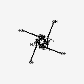 CC(C)(CCCCCCCCCCCCCCCCCCO)C(=O)Nc1ccccc1C1=C2C=CC(=N2)C(c2ccccc2NC(=O)C(C)(C)CCCCCCCCCCCCCCCCCCO)=C2C=CC(=N2)C(c2ccccc2NC(=O)C(C)(C)CCCCCCCCCCCCCCCCCCO)=C2C=CC(=N2)C(c2ccccc2NC(=O)C(C)(C)CCCCCCCCCCCCCCCCCCO)=C2C=CC1=N2